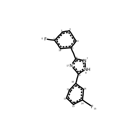 Fc1cccc(-c2n[nH]c(-c3cccc(F)c3)n2)c1